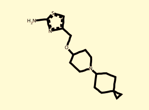 Nc1nc(COC2CCN(C3CCC4(CC3)CC4)CC2)cs1